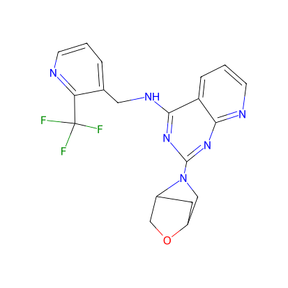 FC(F)(F)c1ncccc1CNc1nc(N2CC3CC2CO3)nc2ncccc12